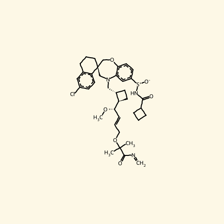 C=NC(=O)C(C)(C)OC/C=C/[C@H](OC)[C@@H]1CC[C@H]1CN1C[C@@]2(CCCc3cc(Cl)ccc32)COc2ccc([S+]([O-])NC(=O)C3CCC3)cc21